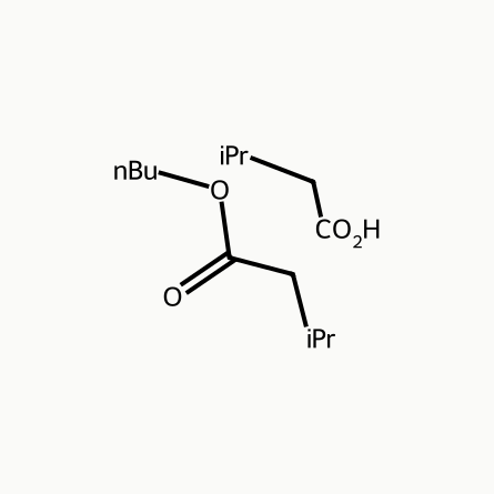 CC(C)CC(=O)O.CCCCOC(=O)CC(C)C